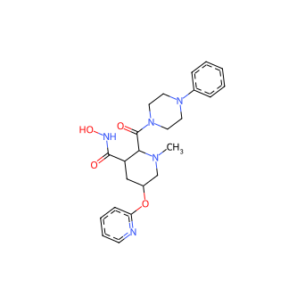 CN1CC(Oc2ccccn2)CC(C(=O)NO)C1C(=O)N1CCN(c2ccccc2)CC1